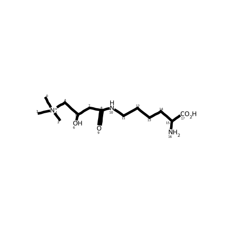 C[N+](C)(C)CC(O)CC(=O)NCCCCC(N)C(=O)O